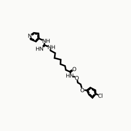 N=C(NCCCCCCCC(=O)NOCCOc1ccc(Cl)cc1)Nc1ccncc1